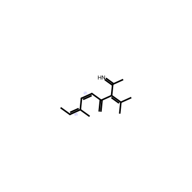 C=C(/C=C\C(C)=C/C)C(C(C)=N)=C(C)C